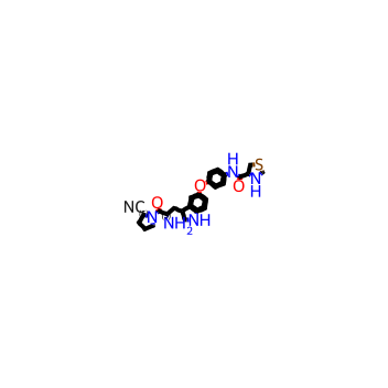 N#C[C@@H]1CCCN1C(=O)[C@@H](N)CC1CNc2ccc(Oc3ccc(NC(=O)C4CSCN4)cc3)cc21